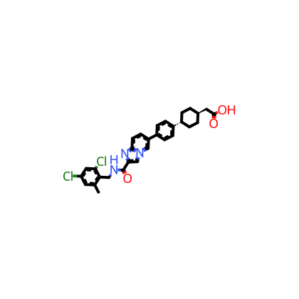 Cc1cc(Cl)cc(Cl)c1CNC(=O)c1cn2cc(-c3ccc([C@H]4CC[C@H](CC(=O)O)CC4)cc3)ccc2n1